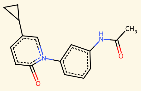 CC(=O)Nc1cccc(-n2cc(C3CC3)ccc2=O)c1